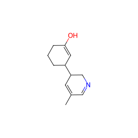 CC1=CC(C2C=C(O)CCC2)CN=C1